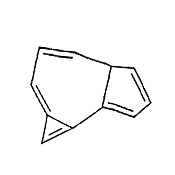 C1=CC2C=CC=C2C2=CC2=C1